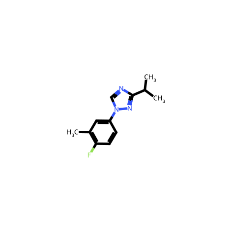 Cc1cc(-n2cnc(C(C)C)n2)ccc1F